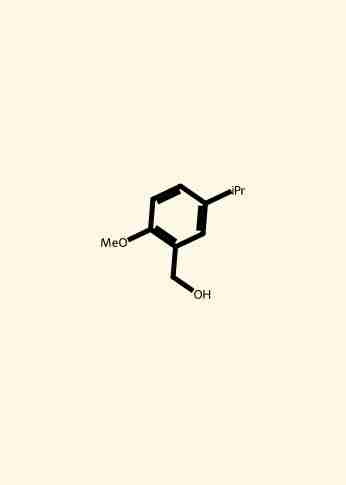 COc1ccc(C(C)C)cc1CO